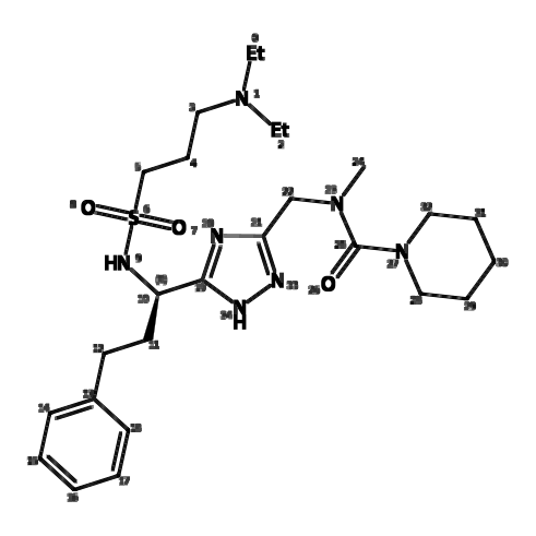 CCN(CC)CCCS(=O)(=O)N[C@H](CCc1ccccc1)c1nc(CN(C)C(=O)N2CCCCC2)n[nH]1